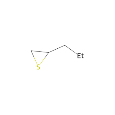 CCCC1CS1